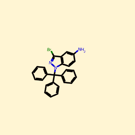 Nc1ccc2c(c1)c(Br)nn2C(c1ccccc1)(c1ccccc1)c1ccccc1